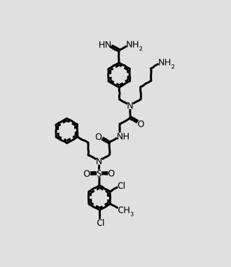 Cc1c(Cl)ccc(S(=O)(=O)N(CCc2ccccc2)CC(=O)NCC(=O)N(CCCCN)Cc2ccc(C(=N)N)cc2)c1Cl